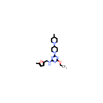 Cc1ccc(CNc2nc(OCC(F)(F)F)nc(N3CCC(N4CCC(C)CC4)CC3)n2)o1